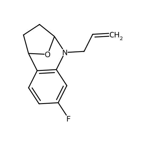 C=CCN1c2cc(F)ccc2C2CCC1O2